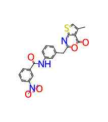 Cc1csc2nc(Cc3cccc(NC(=O)c4cccc([N+](=O)[O-])c4)c3)oc(=O)c12